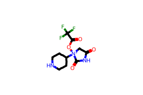 O=C1C[N+](OC(=O)C(F)(F)F)(C2CCNCC2)C(=O)N1